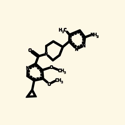 COc1c(C2CC2)cnc(C(=O)N2CCC(c3nnc(N)cc3C)CC2)c1OC